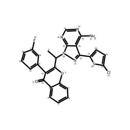 CC(c1oc2ccccc2c(=O)c1-c1cccc(F)c1)n1nc(-c2ccc(Cl)s2)c2c(N)ncnc21